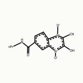 CCCNC(=O)c1ccc2c(c1)[n+]([O-])c(O)c(C#N)[n+]2[O-]